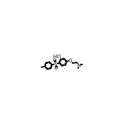 Cc1ccc(S(=O)(=O)c2ccc(OCCN(C)C)cc2)cc1.Cl